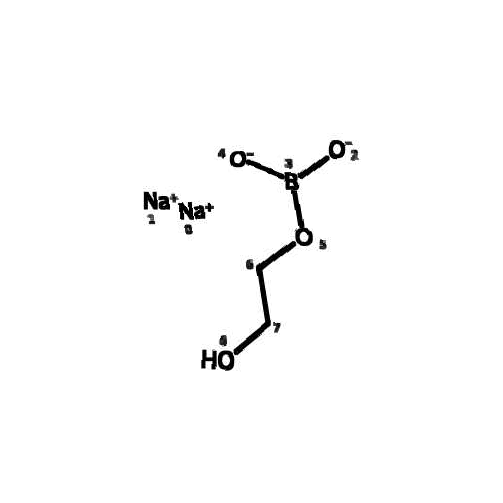 [Na+].[Na+].[O-]B([O-])OCCO